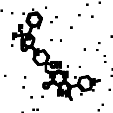 CN1CC=C(c2c3ncn(CC4(O)CCN(C(=O)C[C@H](c5ccccc5)C(F)(F)F)CC4)c(=O)c3nn2C)CC1